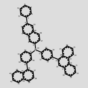 c1ccc(-c2ccc3cc(N(c4ccc(-c5cc6ccccc6c6ccccc56)cc4)c4cccc(-c5cccc6ccccc56)c4)ccc3c2)cc1